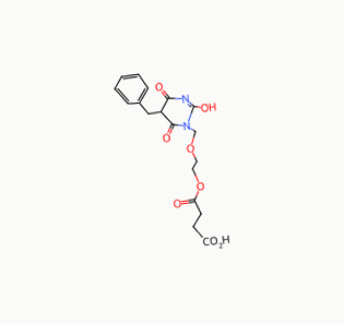 O=C(O)CCC(=O)OCCOCN1C(=O)C(Cc2ccccc2)C(=O)N=C1O